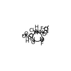 COC(=O)Nc1ccc2c(c1)NC(=O)CCc1nc(ccc1F)CC(NC(=O)c1c(F)cc(C)cc1F)c1nc-2c(Cl)[nH]1